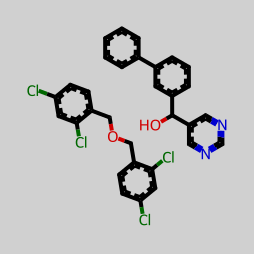 Clc1ccc(COCc2ccc(Cl)cc2Cl)c(Cl)c1.OC(c1cncnc1)c1cccc(-c2ccccc2)c1